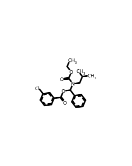 CCOC(=O)N(CC(C)C)C(OC(=O)c1cccc(Cl)c1)c1ccccc1